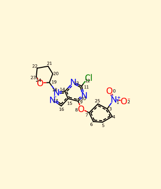 O=[N+]([O-])c1cccc(Oc2nc(Cl)nc3c2cnn3C2CCCCO2)c1